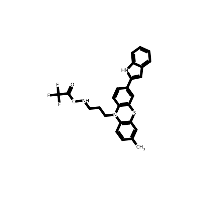 Cc1ccc2c(c1)Sc1cc(-c3cc4ccccc4[nH]3)ccc1N2CCCNOC(=O)C(F)(F)F